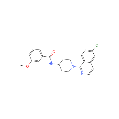 COc1cccc(C(=O)NC2CCN(c3nccc4cc(Cl)ccc34)CC2)c1